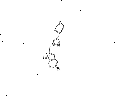 Brc1ccc2[nH]c(Cn3cc(-c4ccncc4)cn3)cc2c1